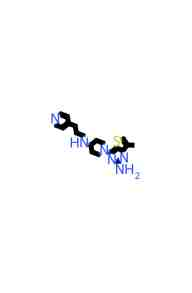 Cc1csc2c(N3CCC(NCCCc4ccncc4)CC3)nc(N)nc12